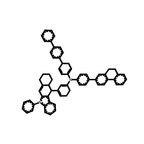 C1=CC(c2ccc(-c3ccccc3)cc2)CC=C1N(C1=CC(C2c3c(n(-c4ccccc4)c4ccccc34)C=C3CCCCC32)=CCC1)c1ccc(-c2ccc3c(c2)CCc2ccccc2-3)cc1